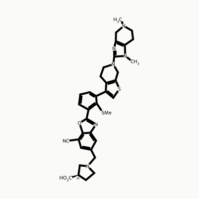 CSc1c(-c2nc3cc(CN4CC[C@@H](C(=O)O)C4)cc(C#N)c3o2)cccc1-c1csc2c1CCN(c1nc3c(n1C)CCN(C)C3)C2